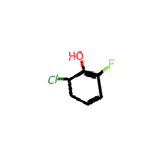 OC1=C(F)C=CCC1Cl